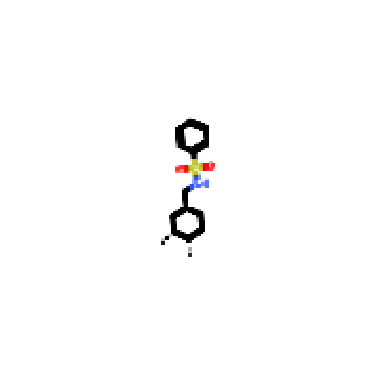 C[C@@H]1CC(CNS(=O)(=O)c2ccccc2)CC[C@@H]1C